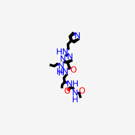 CCCNc1nc(NCCc2ccncc2)ncc1C(=O)NCCC(CC)NC(=O)CNC(C)=O